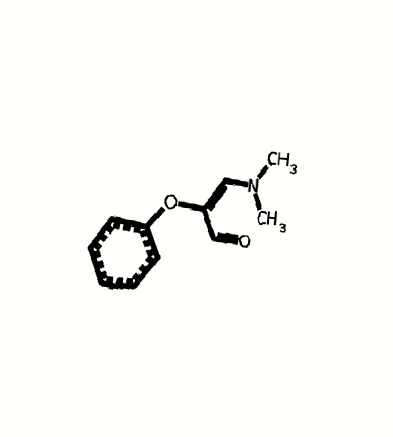 CN(C)C=C(C=O)Oc1ccccc1